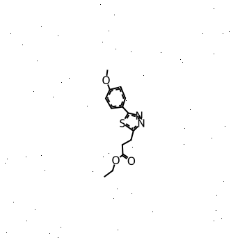 CCOC(=O)CCc1nnc(-c2ccc(OC)cc2)s1